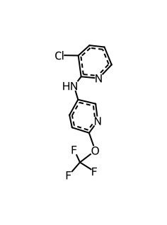 FC(F)(F)Oc1ccc(Nc2ncccc2Cl)cn1